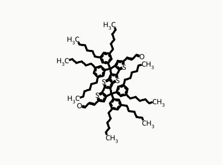 CCCCCCc1cc(CCCCCC)cc(C2(c3cc(CCCCCC)cc(CCCCCC)c3)c3cc(/C=C/C=O)sc3-c3sc4c5c(sc4c32)-c2sc(/C=C/C=O)cc2C5(c2cc(CCCCCC)cc(CCCCCC)c2)c2cc(CCCCCC)cc(CCCCCC)c2)c1